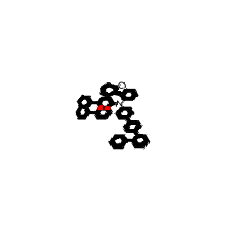 c1ccc(-c2ccccc2-c2ccc(-c3ccc(N(c4ccc(-c5cccc6cccc(-c7ccccc7)c56)cc4)c4cccc5oc6ccccc6c45)cc3)cc2)cc1